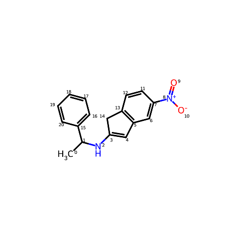 CC(NC1=Cc2cc([N+](=O)[O-])ccc2C1)c1ccccc1